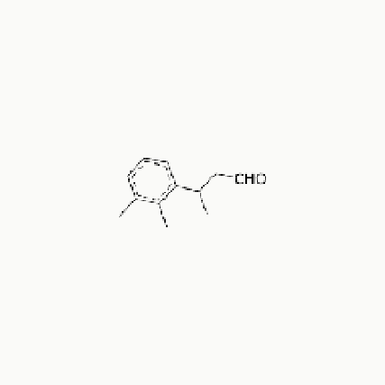 Cc1cccc(C(C)CC=O)c1C